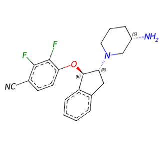 N#Cc1ccc(O[C@@H]2c3ccccc3C[C@H]2N2CCC[C@H](N)C2)c(F)c1F